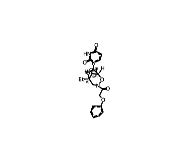 CC[C@@]12CN(C(=O)COc3ccccc3)O[C@@H]([C@H](n3ccc(=O)[nH]c3=O)O1)[C@@H]2O